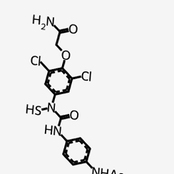 CC(=O)Nc1ccc(NC(=O)N(S)c2cc(Cl)c(OCC(N)=O)c(Cl)c2)cc1